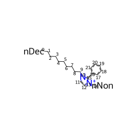 CCCCCCCCCCCCCCCCCCCn1cc[n+](CCCCCCCCC)c1-c1ccccc1